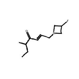 CCC(C)C(=O)/C=C/CN1CC(F)C1